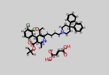 CC(=O)c1c(CCCCN2CCC(c3ccccc3)(c3ccccc3)CC2)nc(C)c(C(=O)OC(C)(C)C)c1-c1cccc(Cl)c1Cl.O=C(O)C=CC(=O)O